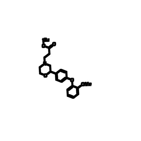 COc1ccccc1Oc1ccc(C2CN(CCC(=O)OC(C)(C)C)CCO2)cc1